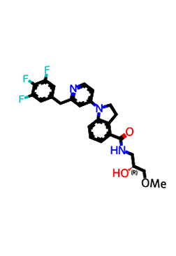 COC[C@H](O)CNC(=O)c1cccc2c1CCN2c1ccnc(Cc2cc(F)c(F)c(F)c2)c1